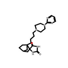 O=C1NC(=O)C2(CC3CCC2(CCCCN2CCN(c4ncccn4)CC2)C3)N1